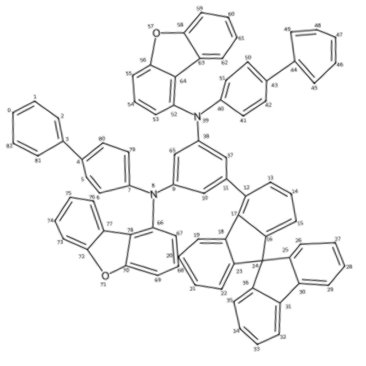 c1ccc(-c2ccc(N(c3cc(-c4cccc5c4-c4ccccc4C54c5ccccc5-c5ccccc54)cc(N(c4ccc(-c5ccccc5)cc4)c4cccc5oc6ccccc6c45)c3)c3cccc4oc5ccccc5c34)cc2)cc1